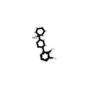 OC1(C2CCC(c3cccc(F)c3F)CC2)CCCCC1